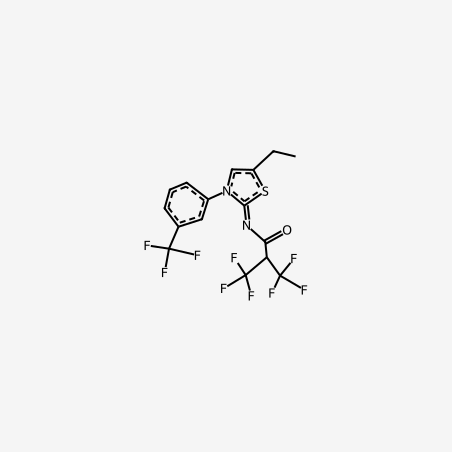 CCc1cn(-c2cccc(C(F)(F)F)c2)c(=NC(=O)C(C(F)(F)F)C(F)(F)F)s1